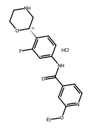 CCOc1cc(C(=O)Nc2ccc([C@H]3CNCCO3)c(F)c2)ccn1.Cl